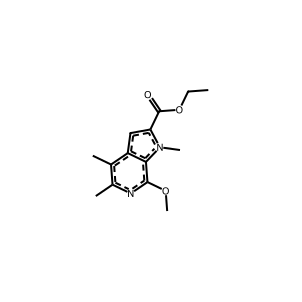 CCOC(=O)c1cc2c(C)c(C)nc(OC)c2n1C